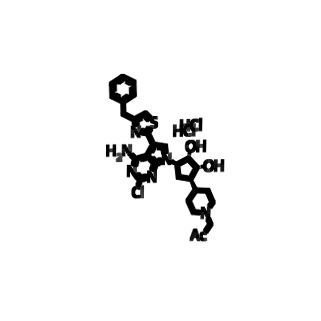 CC(=O)CN1CCC([C@H]2C[C@@H](n3cc(-c4nc(Cc5ccccc5)cs4)c4c(N)nc(Cl)nc43)[C@H](O)[C@@H]2O)CC1.Cl.Cl